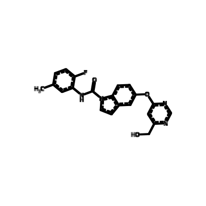 Cc1ccc(F)c(NC(=O)n2ccc3cc(Oc4cc(CO)ncn4)ccc32)c1